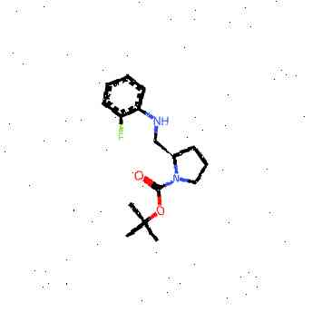 CC(C)(C)OC(=O)N1CCC[C@@H]1CNc1ccccc1F